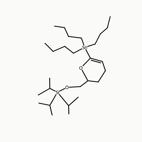 CCC[CH2][Sn]([CH2]CCC)([CH2]CCC)[C]1=CCCC(CO[Si](C(C)C)(C(C)C)C(C)C)O1